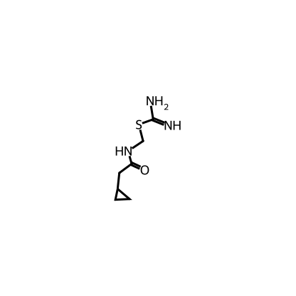 N=C(N)SCNC(=O)CC1CC1